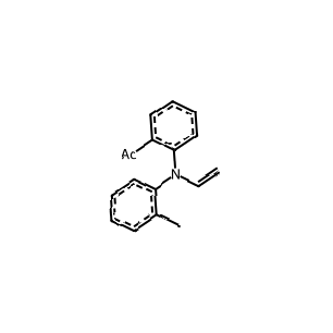 C=CN(c1ccccc1C)c1ccccc1C(C)=O